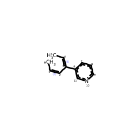 C/C=C\C(=C/C)c1cccnc1